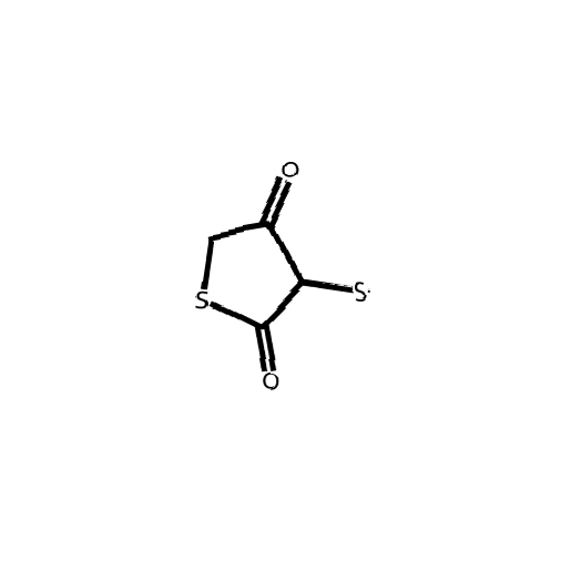 O=C1CSC(=O)C1[S]